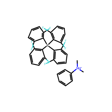 C[NH+](C)c1ccccc1.Fc1cccc(F)c1[B-](c1c(F)cccc1F)(c1c(F)cccc1F)c1c(F)cccc1F